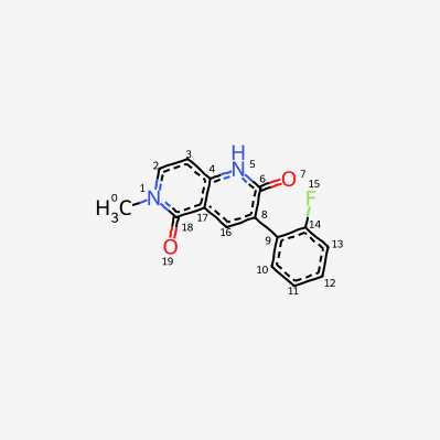 Cn1ccc2[nH]c(=O)c(-c3ccccc3F)cc2c1=O